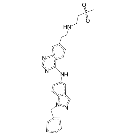 CS(=O)(=O)CCNCCc1ccc2c(Nc3ccc4c(cnn4Cc4ccccc4)c3)ncnc2c1